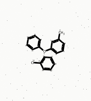 Cc1cccc(Oc2ccccc2)c1.Clc1ccccc1